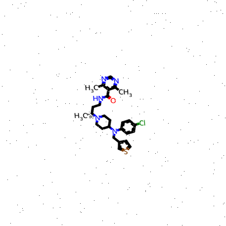 Cc1ncnc(C)c1C(=O)NCC[C@@H](C)N1CCC(N(Cc2ccsc2)c2ccc(Cl)cc2)CC1